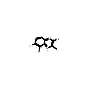 Fc1ccc2nc(Br)c(I)nc2c1F